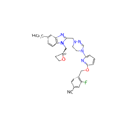 N#Cc1ccc(COc2cccc(N3C=NN(Cc4nc5cc(C(=O)O)ccc5n4C[C@@H]4CCO4)CC3)n2)c(F)c1